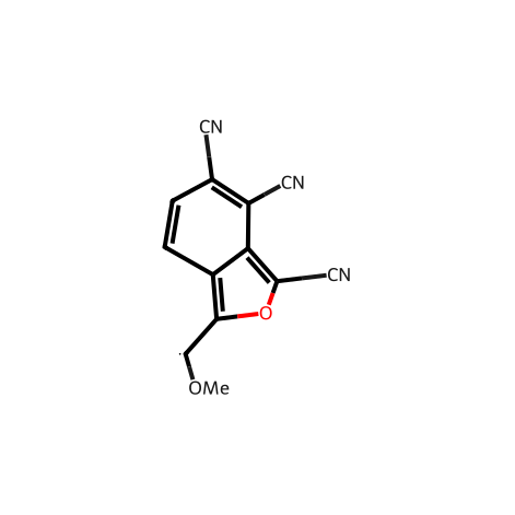 CO[CH]c1oc(C#N)c2c(C#N)c(C#N)ccc12